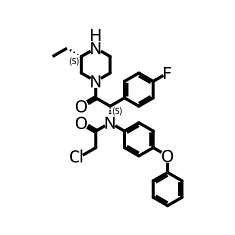 CC[C@H]1CN(C(=O)[C@H](c2ccc(F)cc2)N(C(=O)CCl)c2ccc(Oc3ccccc3)cc2)CCN1